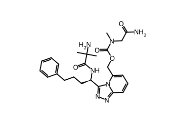 CN(CC(N)=O)C(=O)OCc1cccc2nnc([C@@H](CCCc3ccccc3)NC(=O)C(C)(C)N)n12